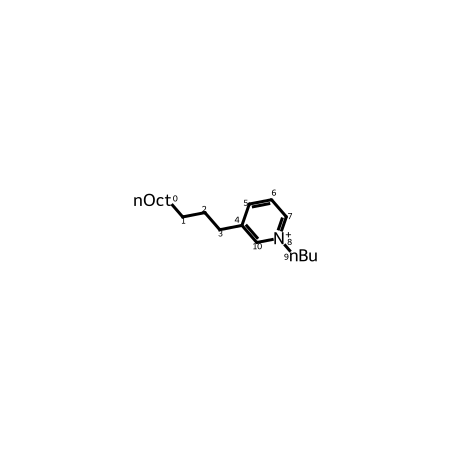 CCCCCCCCCCCc1ccc[n+](CCCC)c1